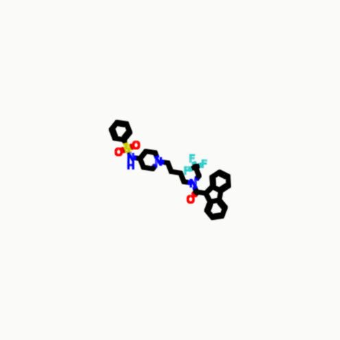 O=C(C1c2ccccc2-c2ccccc21)N(CCCCN1CCC(NS(=O)(=O)c2ccccc2)CC1)CC(F)(F)F